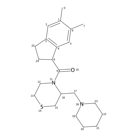 Cc1cc2c(cc1C)C(C(=O)N1CCSCC1CN1CCCCC1)CC2